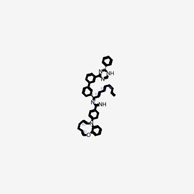 C=C\C=C/C=C/C=C/C(=N\C(=N)C1=CC=C(N2/C=C/CC/C=C/Oc3ccccc32)CC1)[C@@H]1C=C(C2C=C(C3=N[C@H](c4ccccc4)NC=N3)C=CC2)C=CC1